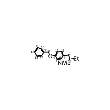 CC[C@H](Cc1ccc(OCc2ccccc2)cc1)NC